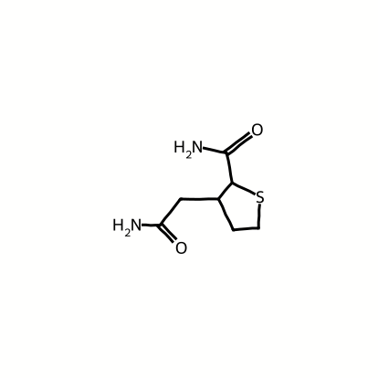 NC(=O)CC1CCSC1C(N)=O